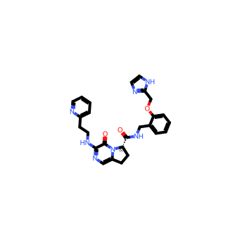 O=C(NCc1ccccc1OCc1ncc[nH]1)[C@@H]1CCc2cnc(NCCc3ccccn3)c(=O)n21